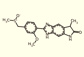 COc1cc(C[S+](C)[O-])ccc1-c1nc2cc3c(cc2[nH]1)NC(=O)C3C